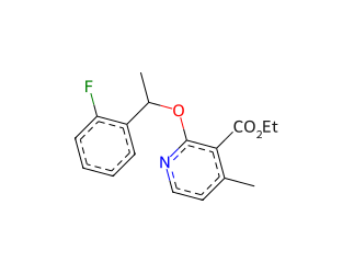 CCOC(=O)c1c(C)ccnc1OC(C)c1ccccc1F